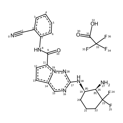 N#Cc1ccccc1NC(=O)c1ccc2cnc(N[C@@H]3CCCC(F)(F)[C@@H]3N)nn12.O=C(O)C(F)(F)F